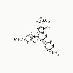 CO[C@@H]1C[C@@H]2CC1CN2c1nc(-c2cnc(N)nc2)nc2c1nc1n2CCOC1(C)C